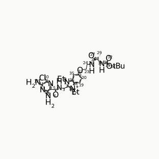 CCn1c(CNC(=O)c2nc(Cl)c(N)nc2N)[n+](CC)c2ccc(OCCNC(=O)[C@H](C)NC(=O)OC(C)(C)C)cc21